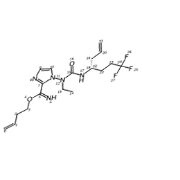 C=CCCOC(=N)c1nccn1N(CC)C(=O)N[C@H](CC=C)CCC(F)(F)F